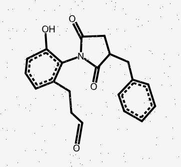 O=CCCc1cccc(O)c1N1C(=O)CC(Cc2ccccc2)C1=O